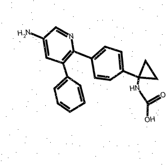 Nc1cnc(-c2ccc(C3(NC(=O)O)CC3)cc2)c(-c2ccccc2)c1